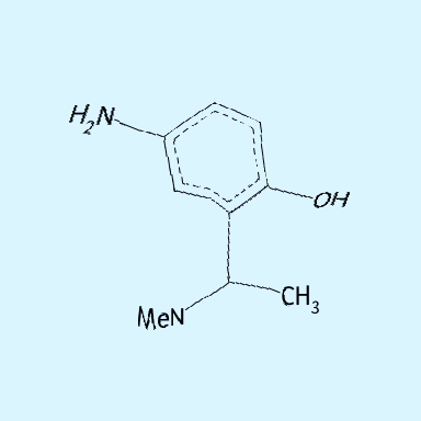 CNC(C)c1cc(N)ccc1O